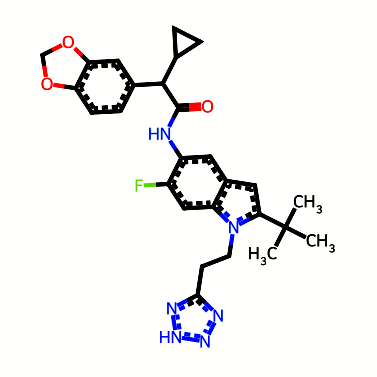 CC(C)(C)c1cc2cc(NC(=O)C(c3ccc4c(c3)OCO4)C3CC3)c(F)cc2n1CCc1nn[nH]n1